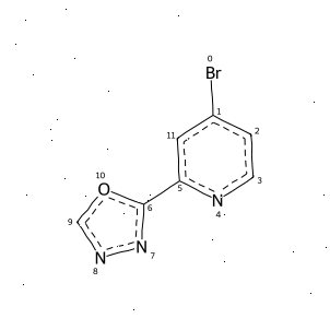 Brc1ccnc(-c2nnco2)c1